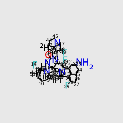 [2H]C([2H])(Oc1nc(N2CCC=C[C@H]3[C@H](F)[C@H]32)c2cnc(-c3cc(N)cc4ccc(F)c(C#C[Si](C(C)C)(C(C)C)C(C)C)c34)c(F)c2n1)[C@@]12CCCN1C[C@H](F)C2